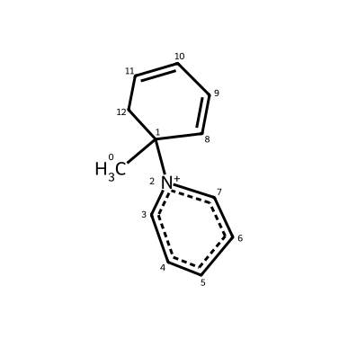 CC1([n+]2ccccc2)C=CC=CC1